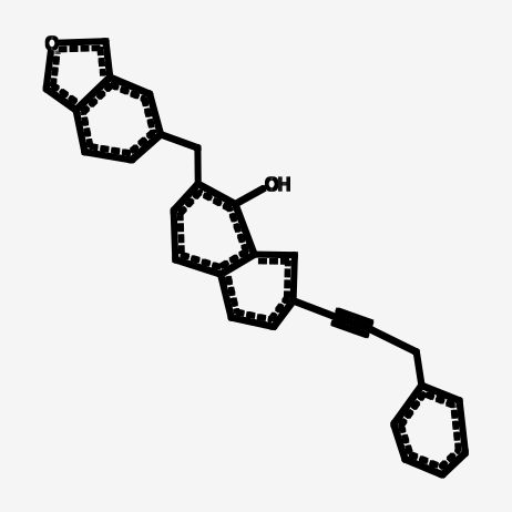 Oc1c(Cc2ccc3cocc3c2)ccc2ccc(C#CCc3ccccc3)cc12